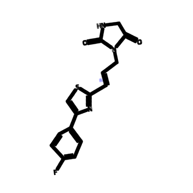 O=C1CNC(=O)N1C/C=C/c1nc(-c2ccc(F)cc2)cs1